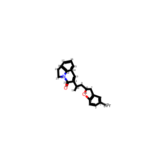 CC(C)c1ccc2c(c1)CC(CC(C)c1cc3cccc4c3n(c1=O)CC4)O2